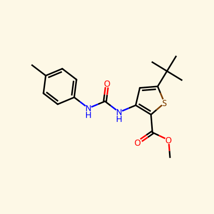 COC(=O)c1sc(C(C)(C)C)cc1NC(=O)Nc1ccc(C)cc1